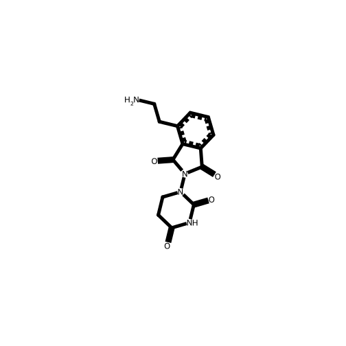 NCCc1cccc2c1C(=O)N(N1CCC(=O)NC1=O)C2=O